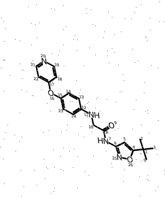 CC(C)(C)c1cc(NC(=O)CNc2ccc(Oc3ccncc3)cc2)no1